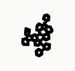 c1ccc(-c2ccccc2-c2ccccc2-c2ccccc2N(c2ccc3c(c2)C2(CC4CCC2C4)c2ccccc2-3)c2cccc3c2c2ccccc2n3-c2ccccc2)cc1